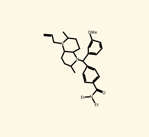 C=CCN1C(C)CCC2C1CCC(C)N2C(c1ccc(C(=O)N(CC)CC)cc1)c1cccc(OC)c1